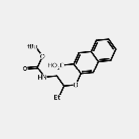 CCC(CNC(=O)OC(C)(C)C)Oc1cc2ccccc2cc1C(=O)O